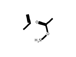 C=CC.CC(=O)O[SiH3]